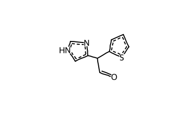 O=CC(c1c[nH]cn1)c1cccs1